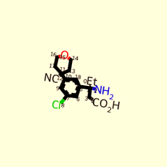 CC[C@](N)(CC(=O)O)c1cc(Cl)cc(C2(C#N)CCOCC2)c1